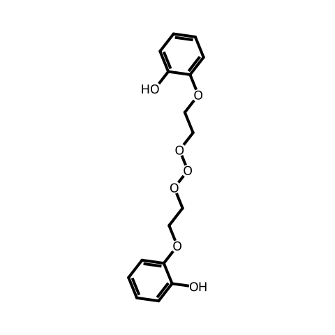 Oc1ccccc1OCCOOOCCOc1ccccc1O